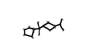 CC(C)N1CC(C(C)(C)N2CCCC2)C1